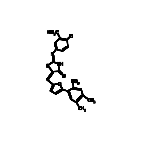 Cc1cc(-c2ccc(C=C3SC(=Nc4ccc(Cl)c(C(=O)O)c4)NC3=O)o2)c([N+](=O)[O-])cc1C